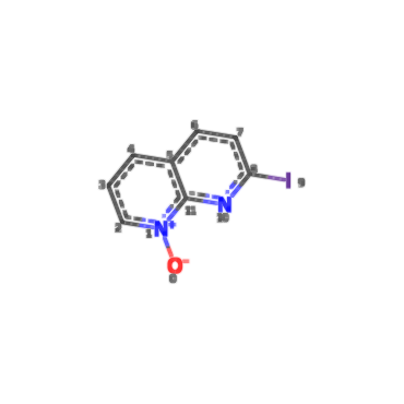 [O-][n+]1cccc2ccc(I)nc21